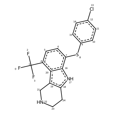 FC(F)(F)c1ccc(Sc2ccc(Cl)cc2)c2[nH]c3c(c12)CNCC3